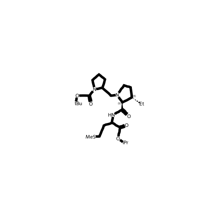 CC[C@H]1CCN(CC2CCCN2C(=O)OC(C)(C)C)[C@@H]1C(=O)NC(CCSC)C(=O)OC(C)C